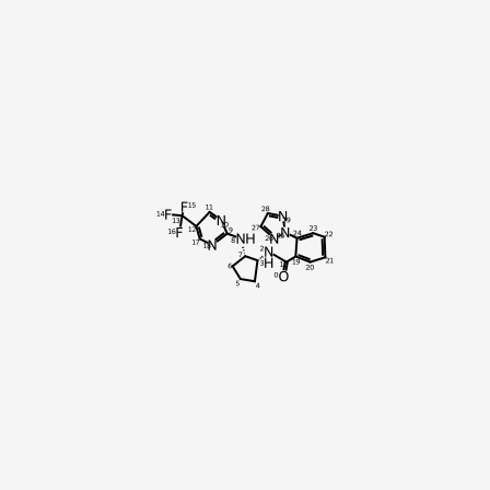 O=C(N[C@@H]1CCC[C@@H]1Nc1ncc(C(F)(F)F)cn1)c1ccccc1-n1nccn1